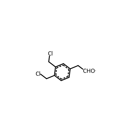 O=[C]Cc1ccc(CCl)c(CCl)c1